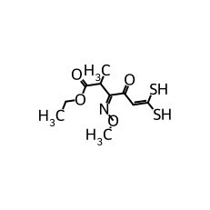 CCOC(=O)C(C)C(=NOC)C(=O)C=C(S)S